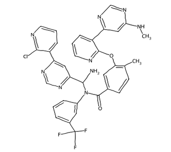 CNc1cc(-c2cccnc2Oc2cc(C(=O)N(c3cccc(C(F)(F)F)c3)C(N)c3cc(-c4cccnc4Cl)ncn3)ccc2C)ncn1